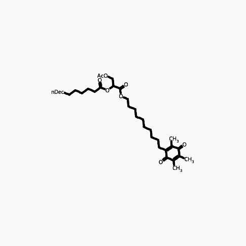 CCCCCCCCCCCCCCCC(=O)OC(COC(C)=O)C(=O)OCCCCCCCCCCC1=C(C)C(=O)C(C)=C(C)C1=O